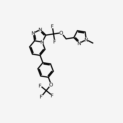 Cn1ccc(COC(F)(F)c2nnc3ccc(-c4ccc(OC(F)(F)F)cc4)cn23)n1